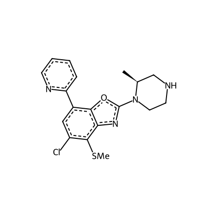 CSc1c(Cl)cc(-c2ccccn2)c2oc(N3CCNC[C@@H]3C)nc12